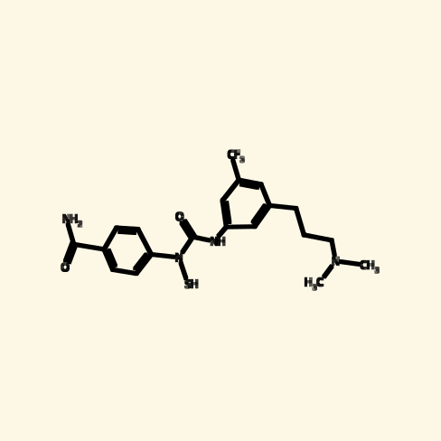 CN(C)CCCc1cc(NC(=O)N(S)c2ccc(C(N)=O)cc2)cc(C(F)(F)F)c1